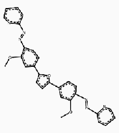 COc1cc(-c2ccc(-c3ccc(N=Nc4ccccn4)c(OC)c3)o2)ccc1N=Nc1ccccn1